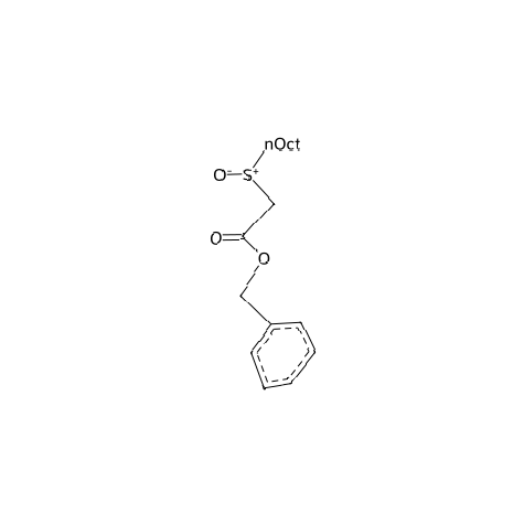 CCCCCCCC[S+]([O-])CC(=O)OCc1ccccc1